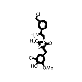 C=c1s/c(=C\c2cc(Cl)c(O)c(OC)c2)c(=O)n1/C=C(\N)c1cccc(CCl)c1